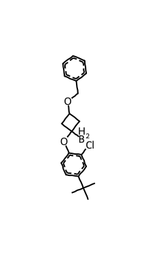 BC1(Oc2ccc(C(C)(C)C)cc2Cl)CC(OCc2ccccc2)C1